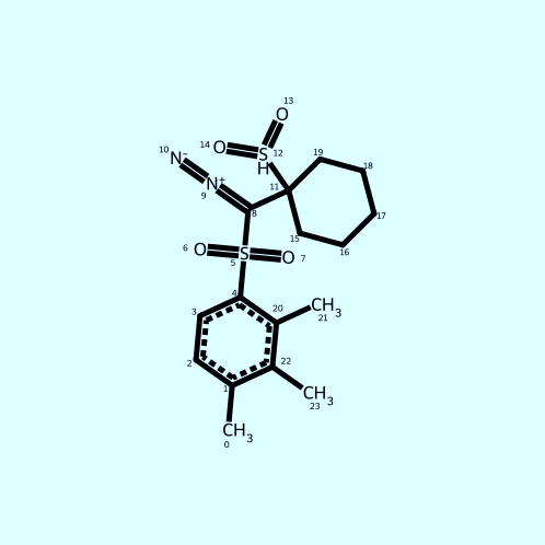 Cc1ccc(S(=O)(=O)C(=[N+]=[N-])C2([SH](=O)=O)CCCCC2)c(C)c1C